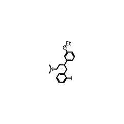 CCOc1cccc(C(CCN(C)C)Cc2ccccc2I)c1